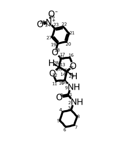 O=C(NC1CCCCC1)N[C@H]1CO[C@H]2[C@@H]1OC[C@@H]2Oc1cccc([N+](=O)[O-])c1